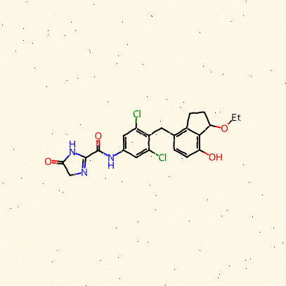 CCOC1CCc2c(Cc3c(Cl)cc(NC(=O)C4=NCC(=O)N4)cc3Cl)ccc(O)c21